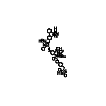 CCCCc1nc(Cl)c(CSc2ccc(NC(=O)COc3ccc(CC4SC(=O)NC4=O)cc3)c(N(C)C(=O)OC(C)(C)C)c2)n1Cc1ccc(-c2ccccc2-c2nnn[nH]2)cc1